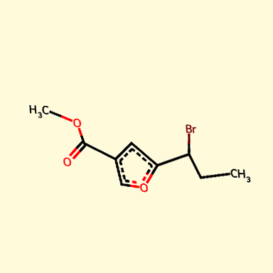 CCC(Br)c1cc(C(=O)OC)co1